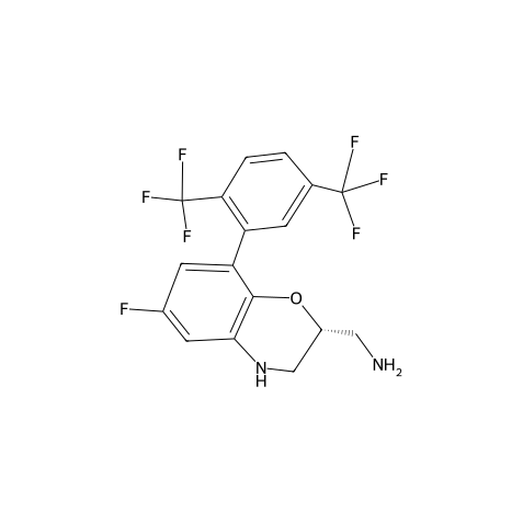 NC[C@@H]1CNc2cc(F)cc(-c3cc(C(F)(F)F)ccc3C(F)(F)F)c2O1